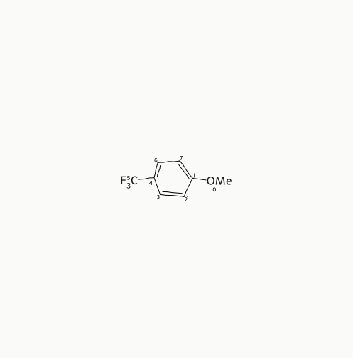 COc1[c]cc(C(F)(F)F)cc1